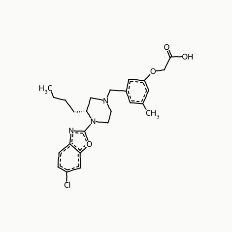 CCCC[C@@H]1CN(Cc2cc(C)cc(OCC(=O)O)c2)CCN1c1nc2ccc(Cl)cc2o1